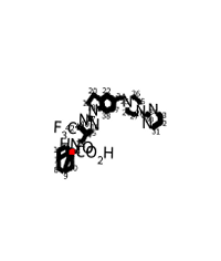 O=C(NC1(C(=O)O)C2CC3CC(C2)CC1C3)c1cnc(N2CCc3cc(CN4CCN(c5ncccn5)CC4)ccc32)nc1C(F)(F)F